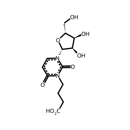 O=C(O)CCCn1c(=O)ccn([C@@H]2O[C@H](CO)[C@@H](O)[C@H]2O)c1=O